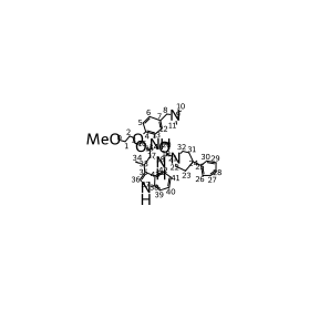 COCCOc1ccc(CN(C)C)cc1NC(=O)[C@H](NC(=O)N1CCC(c2ccccc2)CC1)[C@H](C)c1c[nH]c2ccccc12